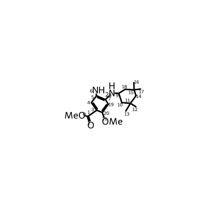 COC(=O)c1cc(N)c(NC2CC(C)(C)CC(C)(C)C2)cc1OC